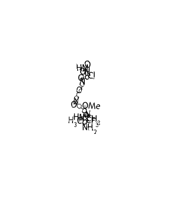 COc1cc2nc(C)nc(N[C@H](C)c3cc(N)cc(C(F)(F)F)c3)c2cc1C1CCC(C(=O)N2CCC(CCOCC3CCN(C(=O)c4ccc(Cl)c(N5CCC(=O)NC5=O)c4)CC3)CC2)CC1